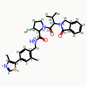 Cc1cc(-c2scnc2C)ccc1CNC(=O)C1[C@@H](F)CCN1C(=O)C(C(C)C)N1Cc2ccccc2C1=O